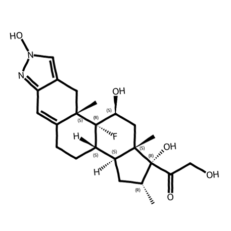 C[C@@H]1C[C@H]2[C@@H]3CCC4=Cc5nn(O)cc5C[C@]4(C)[C@@]3(F)[C@@H](O)C[C@]2(C)[C@@]1(O)C(=O)CO